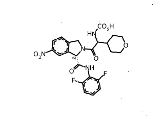 O=C(O)NC(C(=O)N1Cc2ccc([N+](=O)[O-])cc2[C@H]1C(=O)Nc1c(F)cccc1F)C1CCOCC1